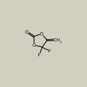 C=C1OC(=O)OC1(F)F